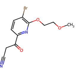 COCCOc1nc(C(=O)CC#N)ccc1Br